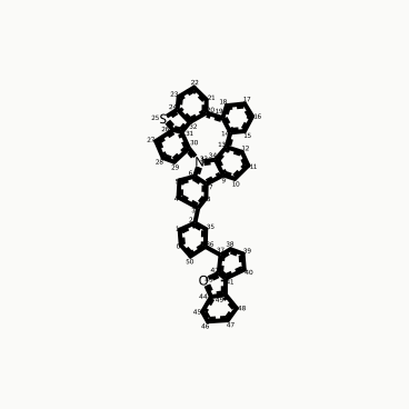 c1cc(-c2ccc3c(c2)c2cccc4c5ccccc5c5cccc6sc7cccc(c7c65)n3c42)cc(-c2cccc3c2oc2ccccc23)c1